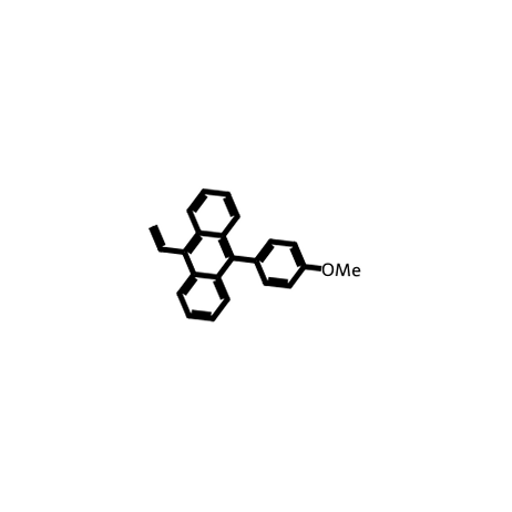 C=Cc1c2ccccc2c(-c2ccc(OC)cc2)c2ccccc12